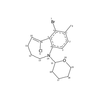 Cc1ccc2c(c1Br)/C(Cl)=C/CCCN2C1CCCCO1